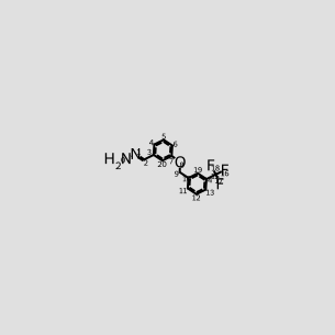 NN=Cc1cccc(OCc2cccc(C(F)(F)F)c2)c1